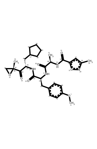 COc1ccc(C[C@H](NC(=O)[C@@H](C)NC(=O)c2cc(C)no2)C(=O)N[C@@H](CC2CCCC2)C(=O)[C@@]2(C)CO2)cc1